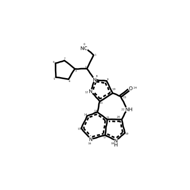 N#CCC(C1CCCC1)n1cc2c(n1)-c1ccnc3[nH]cc(c13)NC2=O